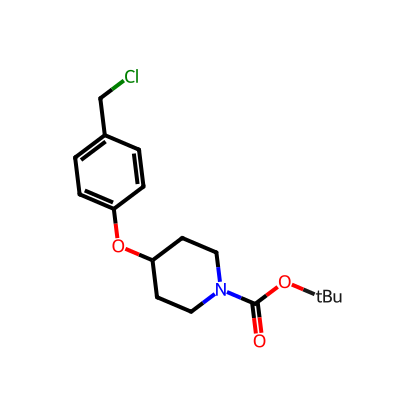 CC(C)(C)OC(=O)N1CCC(Oc2ccc(CCl)cc2)CC1